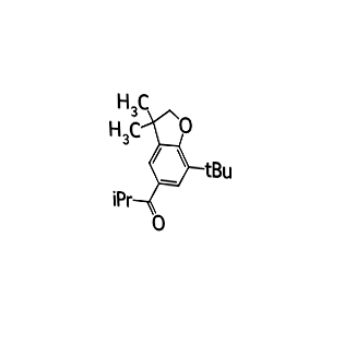 CC(C)C(=O)c1cc(C(C)(C)C)c2c(c1)C(C)(C)CO2